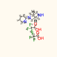 O=C(O)C(F)(F)F.O=C(O)C(F)(F)F.c1ccc(N2C[C@@H]3CNC[C@H]3C2)nc1